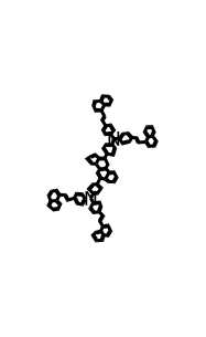 C1=CC2=C(c3ccc(N(c4ccc(C=Cc5cccc6ccccc56)cc4)c4ccc(C=Cc5cccc6ccccc56)cc4)cc3)Cc3c(cc(-c4ccc(N(c5ccc(C=Cc6cccc7ccccc67)cc5)c5ccc(C=Cc6cccc7ccccc67)cc5)cc4)c4ccccc34)C2C=C1